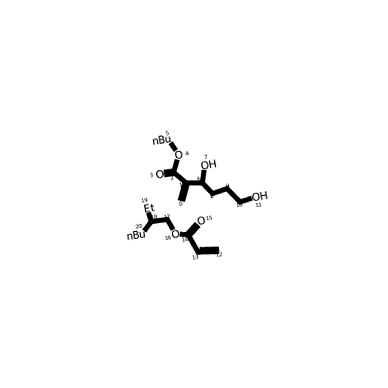 C=C(C(=O)OCCCC)C(O)CCCO.C=CC(=O)OCC(CC)CCCC